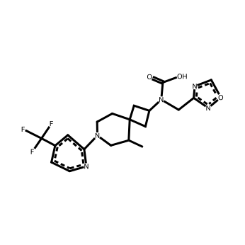 CC1CN(c2cc(C(F)(F)F)ccn2)CCC12CC(N(Cc1ncon1)C(=O)O)C2